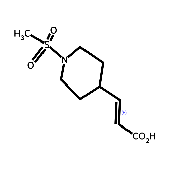 CS(=O)(=O)N1CCC(/C=C/C(=O)O)CC1